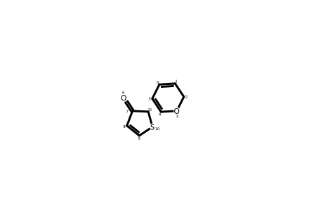 C1=CCOC=C1.O=C1C=CSC1